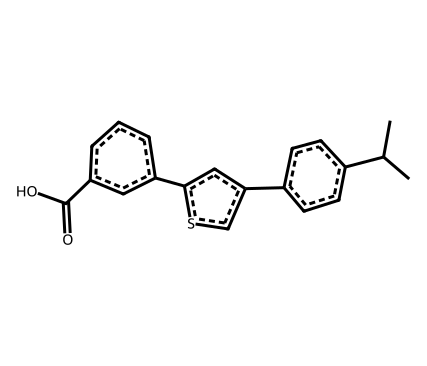 CC(C)c1ccc(-c2csc(-c3cccc(C(=O)O)c3)c2)cc1